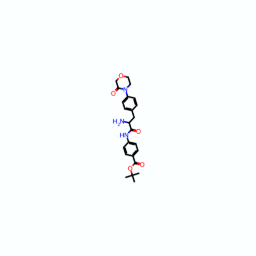 CC(C)(C)OC(=O)c1ccc(NC(=O)C(N)Cc2ccc(N3CCOCC3=O)cc2)cc1